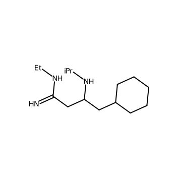 CCNC(=N)CC(CC1CCCCC1)NC(C)C